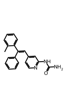 Cc1ccccc1C(=Cc1ccnc(NC(N)=O)c1)c1ccccc1